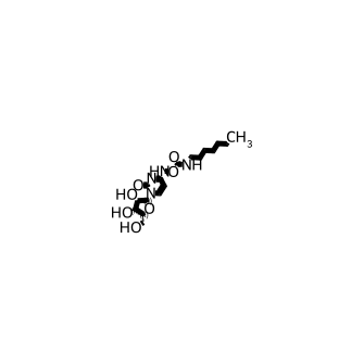 CCCCCCCNC(=O)ONc1ccn([C@@H]2O[C@H](CO)[C@H](O)C2O)c(=O)n1